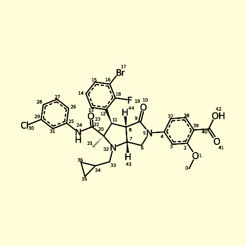 COc1cc(N2C[C@H]3[C@@H](C2=O)[C@H](c2cccc(Br)c2F)[C@](C)(C(=O)Nc2cccc(Cl)c2)N3CC2CC2)ccc1C(=O)O